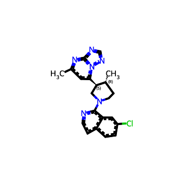 Cc1cc([C@@H]2CN(c3nccc4ccc(Cl)cc34)CC[C@H]2C)n2ncnc2n1